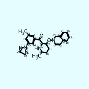 Cc1cc(C(=O)C2NC(C)CCC2ON2C=Cc3ccccc3C2)cc(-n2nccn2)c1